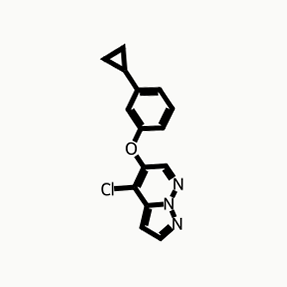 Clc1c(Oc2cccc(C3CC3)c2)cnn2nccc12